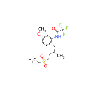 CCS(=O)(=O)CCC(C)Cc1ccc(OC)cc1NC(=O)C(F)(F)F